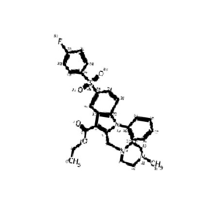 CCOC(=O)c1c(CN2CCN(C)CC2)n(-c2ccccc2)c2ccc(S(=O)(=O)c3ccc(F)cc3)cc12